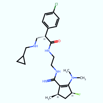 C[C@@H]1C[C@H](F)C(N(C)C)=C1C(=N)NCCNC(=O)[C@H](CNCC1CC1)c1ccc(Cl)cc1